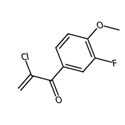 C=C(Cl)C(=O)c1ccc(OC)c(F)c1